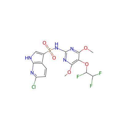 COc1nc(NS(=O)(=O)c2c[nH]c3nc(Cl)ccc23)nc(OC)c1OC(F)C(F)F